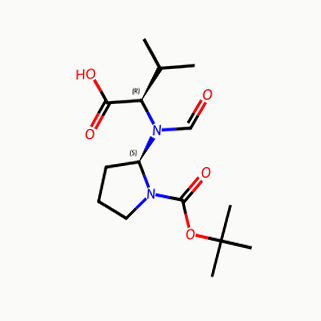 CC(C)[C@H](C(=O)O)N(C=O)[C@@H]1CCCN1C(=O)OC(C)(C)C